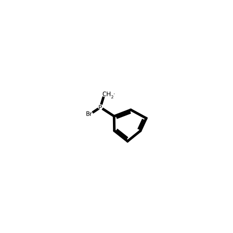 [CH2]P(Br)c1ccccc1